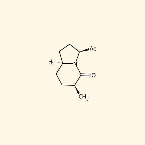 CC(=O)[C@@H]1CC[C@@H]2CC[C@H](C)C(=O)N21